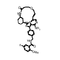 COc1ccc(F)cc1C(=O)NCc1ccc(-c2nc3n4c(cnc(N)c24)/C=C/COCCC(=O)N[C@@H]2CCC[C@@H]3C2)cc1